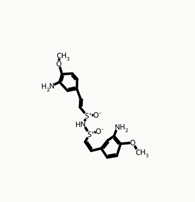 COc1ccc(/C=C\[S+]([O-])N[S+]([O-])/C=C/c2ccc(OC)c(N)c2)cc1N